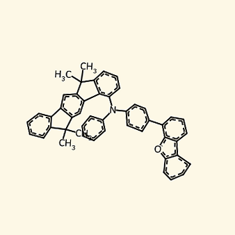 CC1(C)c2ccccc2-c2cc3c(cc21)-c1c(N(c2ccccc2)c2ccc(-c4cccc5c4oc4ccccc45)cc2)cccc1C3(C)C